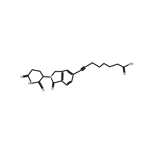 O=C(O)CCCCCC#Cc1ccc2c(c1)CN(C1CCC(=O)NC1=O)C2=O